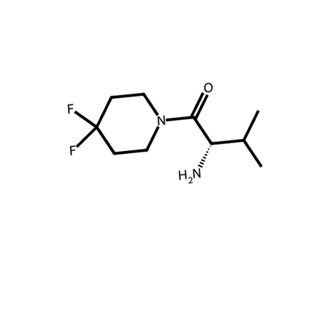 CC(C)[C@H](N)C(=O)N1CCC(F)(F)CC1